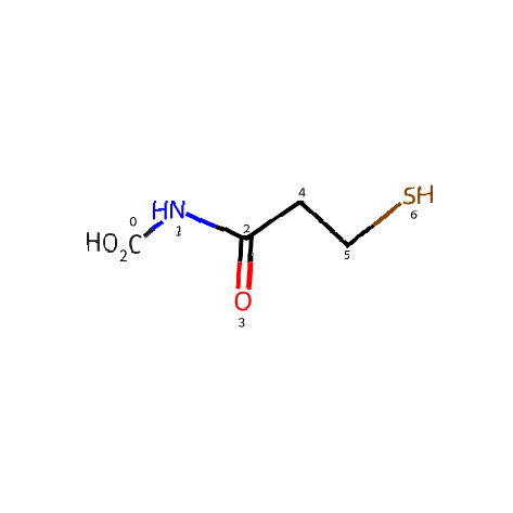 O=C(O)NC(=O)CCS